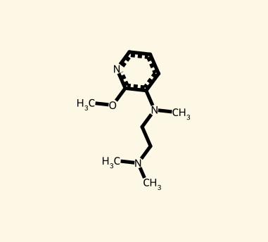 COc1ncccc1N(C)CCN(C)C